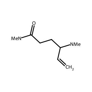 C=CC(CCC(=O)NC)NC